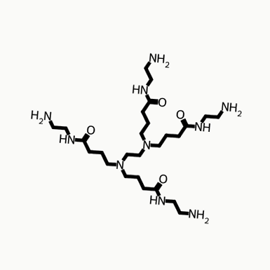 NCCNC(=O)CCCN(CCCC(=O)NCCN)CCN(CCCC(=O)NCCN)CCCC(=O)NCCN